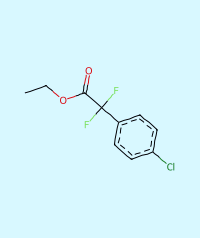 CCOC(=O)C(F)(F)c1ccc(Cl)cc1